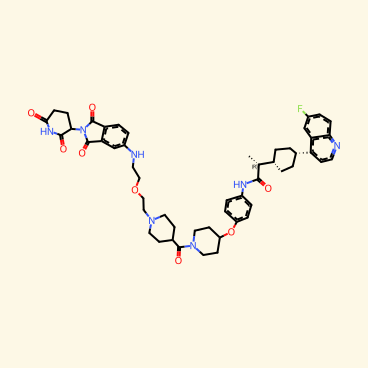 C[C@@H](C(=O)Nc1ccc(OC2CCN(C(=O)C3CCN(CCOCCNc4ccc5c(c4)C(=O)N(C4CCC(=O)NC4=O)C5=O)CC3)CC2)cc1)[C@H]1CC[C@@H](c2ccnc3ccc(F)cc32)CC1